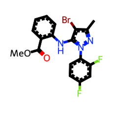 COC(=O)c1ccccc1Nc1c(Br)c(C)nn1-c1ccc(F)cc1F